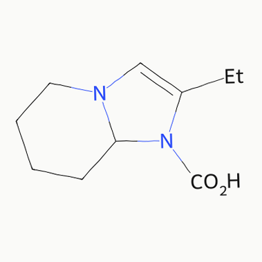 CCC1=CN2CCCCC2N1C(=O)O